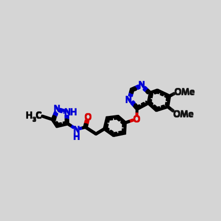 COc1cc2ncnc(Oc3ccc(CC(=O)Nc4cc(C)n[nH]4)cc3)c2cc1OC